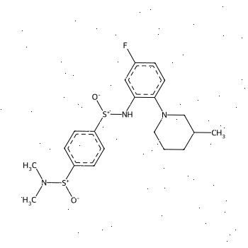 CC1CCCN(c2ccc(F)cc2N[S+]([O-])c2ccc([S+]([O-])N(C)C)cc2)C1